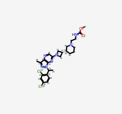 COC(=O)NCCN1CCC[C@H](C2CN(c3cnc4c(C)nn(C(C)c5ccc(Cl)cc5Cl)c4n3)C2)C1